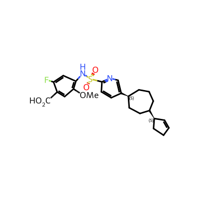 COc1cc(C(=O)O)c(F)cc1NS(=O)(=O)c1ccc([C@H]2CCCC([C@H]3C=CCC3)CC2)cn1